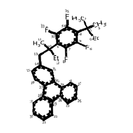 CCC(C)(C)c1c(F)c(F)c(C(C)(CC)Cc2ccc3c4ccccc4c4ccccc4c3c2)c(F)c1F